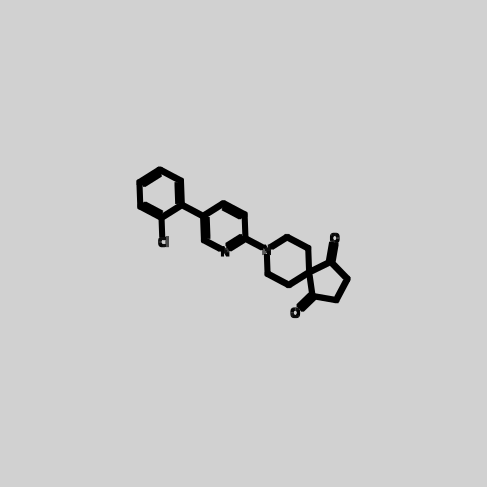 O=C1CCC(=O)C12CCN(c1ccc(-c3ccccc3Cl)cn1)CC2